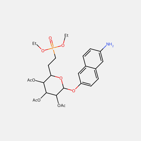 CCOP(=O)(CCC1OC(Oc2ccc3cc(N)ccc3c2)C(OC(C)=O)C(OC(C)=O)C1OC(C)=O)OCC